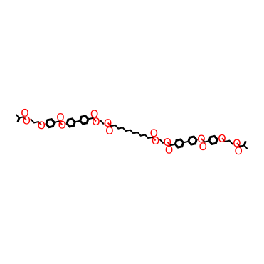 C=C(C)C(=O)OCCCOc1ccc(C(=O)Oc2ccc(-c3ccc(C(=O)OCCOC(=O)CCCCCCCCCCC(=O)OCCOC(=O)c4ccc(-c5ccc(OC(=O)c6ccc(OCCCOC(=O)C(=C)C)cc6)cc5)cc4)cc3)cc2)cc1